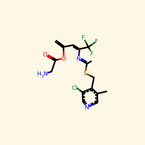 C=C(/C=C(\N=C(/C)SCc1c(C)cncc1Cl)C(F)(F)F)OC(=O)CN